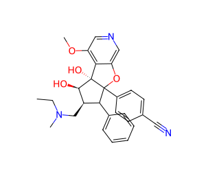 CCN(C)C[C@@H]1C(c2ccccc2)C2(c3ccc(C#N)cc3)Oc3cncc(OC)c3[C@]2(O)[C@@H]1O